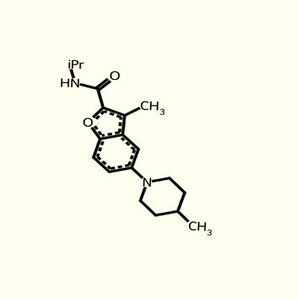 Cc1c(C(=O)NC(C)C)oc2ccc(N3CCC(C)CC3)cc12